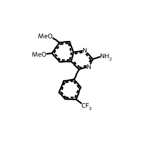 COc1cc2nc(N)nc(-c3cccc(C(F)(F)F)c3)c2cc1OC